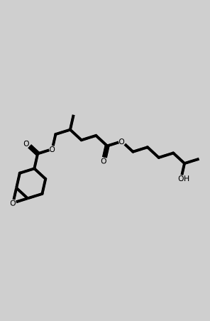 CC(O)CCCCOC(=O)CCC(C)COC(=O)C1CCC2OC2C1